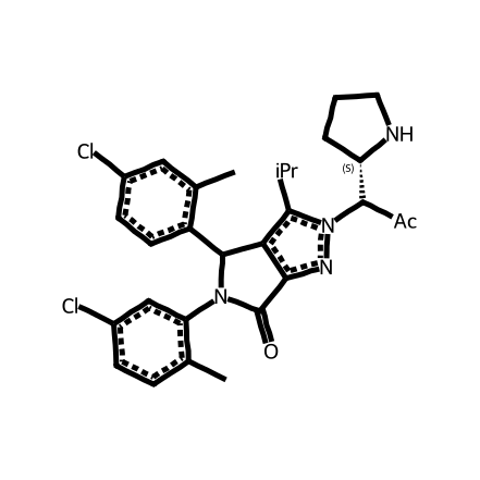 CC(=O)C([C@@H]1CCCN1)n1nc2c(c1C(C)C)C(c1ccc(Cl)cc1C)N(c1cc(Cl)ccc1C)C2=O